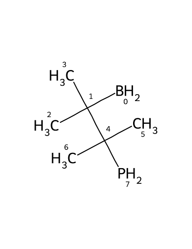 BC(C)(C)C(C)(C)P